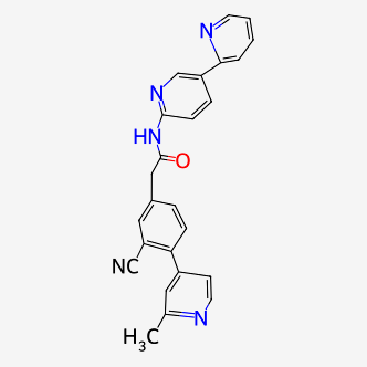 Cc1cc(-c2ccc(CC(=O)Nc3ccc(-c4ccccn4)cn3)cc2C#N)ccn1